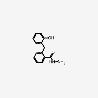 NNC(=O)c1ccccc1Cc1ccccc1O